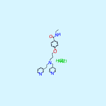 CCNC(=O)c1ccc(OCCCN(CCc2cccnc2)Cc2ccncc2)cc1.Cl.Cl.Cl